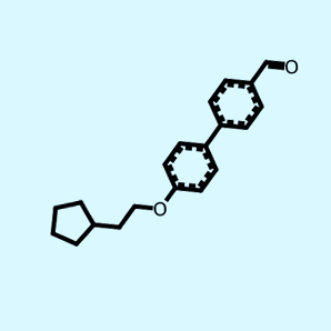 O=Cc1ccc(-c2ccc(OCCC3CCCC3)cc2)cc1